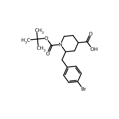 CC(C)(C)OC(=O)N1CCC(C(=O)O)CC1Cc1ccc(Br)cc1